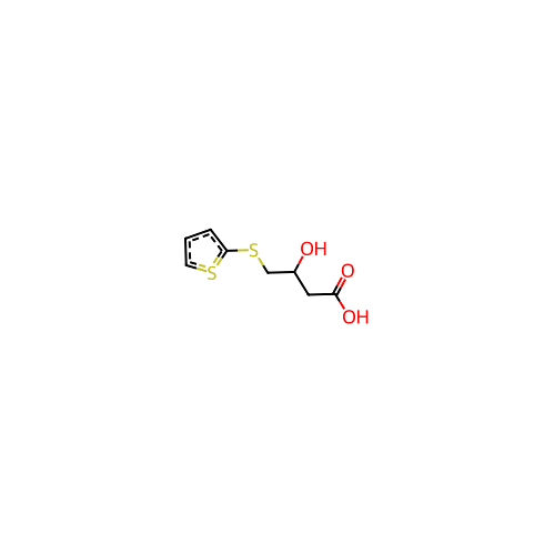 O=C(O)CC(O)CSc1cccs1